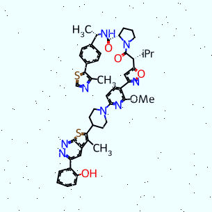 COc1nc(N2CCC(c3sc4nnc(-c5ccccc5O)cc4c3C)CC2)ccc1-c1cc([C@H](C(=O)N2CCC[C@H]2C(=O)N[C@@H](C)c2ccc(-c3scnc3C)cc2)C(C)C)on1